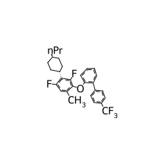 CCC[C@H]1CC[C@H](c2c(F)cc(C)c(Oc3ccccc3-c3ccc(C(F)(F)F)cc3)c2F)CC1